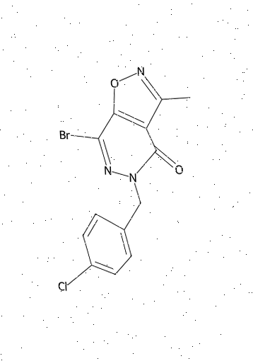 Cc1noc2c(Br)nn(Cc3ccc(Cl)cc3)c(=O)c12